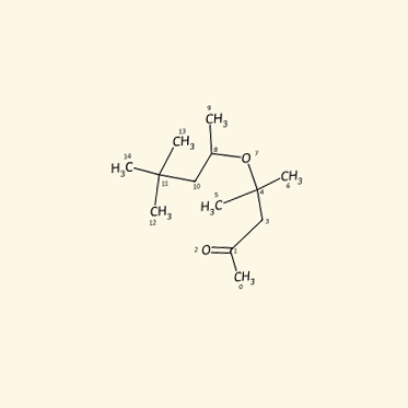 CC(=O)CC(C)(C)OC(C)CC(C)(C)C